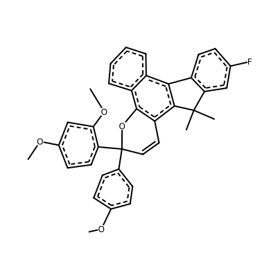 COc1ccc(C2(c3ccc(OC)cc3OC)C=Cc3c4c(c5ccccc5c3O2)-c2ccc(F)cc2C4(C)C)cc1